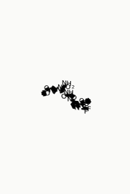 CC(C)(C)OC(=O)N1CC(n2cc(NC(=O)c3coc(-c4ccnc(N(CC(F)(F)F)C(=O)OC(C)(C)C)c4)n3)c(C(N)=O)n2)C1